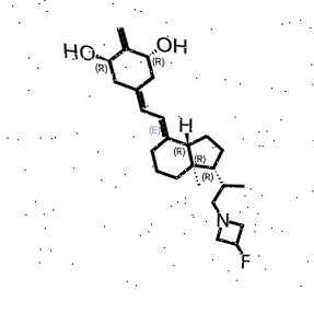 C=C1[C@H](O)CC(=C/C=C2\CCC[C@]3(C)[C@@H](C(C)CN4CC(F)C4)CC[C@@H]23)C[C@H]1O